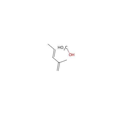 C=C(C)C=CC.O=C(O)O